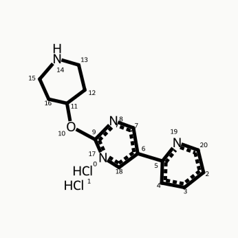 Cl.Cl.c1ccc(-c2cnc(OC3CCNCC3)nc2)nc1